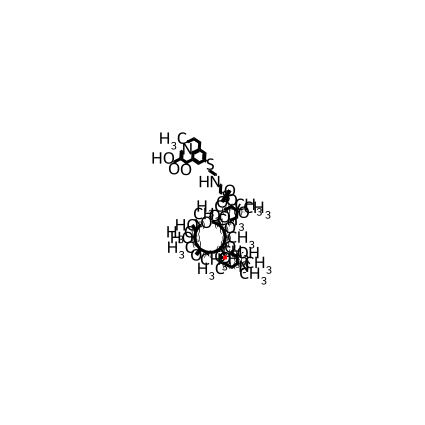 CC[C@H]1OC(=O)[C@H](C)[C@@H](O[C@H]2C[C@@](C)(OC)[C@@H](OS(=O)(=O)CCNCCSc3cc4c5c(c3)c(=O)c(C(=O)O)cn5C(C)CC4)[C@H](C)O2)[C@H](C)[C@@H](O[C@@H]2O[C@H](C)C[C@H](N(C)C)[C@H]2O)[C@](C)(OC)C[C@@H](C)C(=O)[C@@H](C)[C@@H](O)[C@]1(C)O